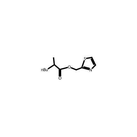 CCCCC(C)C(=O)OCc1nccs1